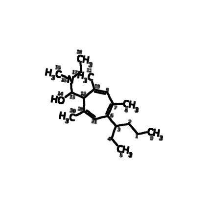 CCCC(CC)C1=C(C)C=C(C)C(C(O)N(C)CC)C(C)=C1